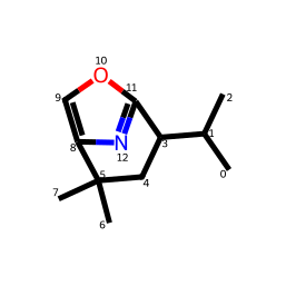 CC(C)C1CC(C)(C)c2coc1n2